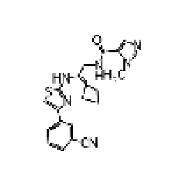 Cn1cncc1C(=O)NCC(Nc1nc(-c2cccc(C#N)c2)cs1)=C1CCC1